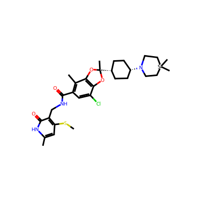 CSc1cc(C)[nH]c(=O)c1CNC(=O)c1cc(Cl)c2c(c1C)OC(C)([C@H]1CC[C@@H](N3CC[Si](C)(C)CC3)CC1)O2